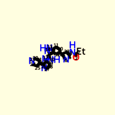 CCC(=O)Nc1cncc(-c2ccc3[nH]nc(-c4nc5c(-c6ccncc6)nccc5[nH]4)c3c2)c1